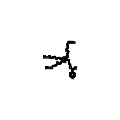 COCCOCCO[Si](CCCOC(=O)c1ccncc1)(OCCOCCOC)OCCOCCOC